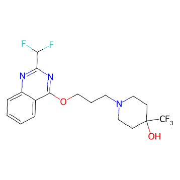 OC1(C(F)(F)F)CCN(CCCOc2nc(C(F)F)nc3ccccc23)CC1